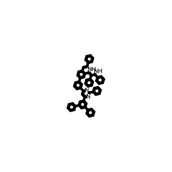 N=C(/C(=C1\NC(c2ccccc2)=Cc2ccc(-c3cccc(-c4cc(-c5cc(-c6ccccc6)cc(-c6ccccc6)c5)nc(-c5ccccc5)n4)c3)cc21)c1ccccc1)c1ccccc1